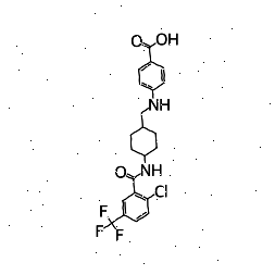 O=C(O)c1ccc(NCC2CCC(NC(=O)c3cc(C(F)(F)F)ccc3Cl)CC2)cc1